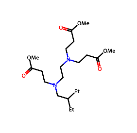 CCC(CC)CN(CCC(=O)OC)CCN(CCC(=O)OC)CCC(=O)OC